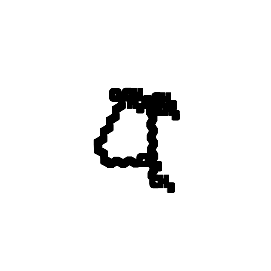 CCCCC/C=C\C/C=C\CCCCCCCC(=O)O.CCCCCCCCCCCC[N+](C)(C)C